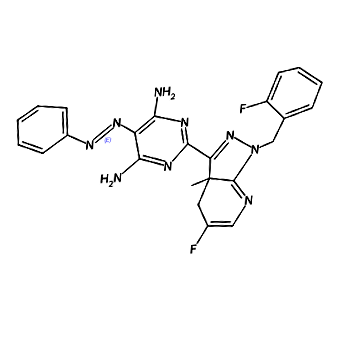 CC12CC(F)=CN=C1N(Cc1ccccc1F)N=C2c1nc(N)c(/N=N/c2ccccc2)c(N)n1